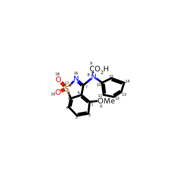 COc1cccc2c1C(N(C(=O)O)c1ccccc1)=NS2(=O)=O